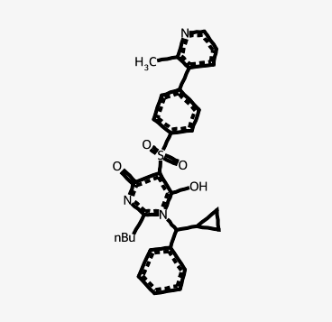 CCCCc1nc(=O)c(S(=O)(=O)c2ccc(-c3cccnc3C)cc2)c(O)n1C(c1ccccc1)C1CC1